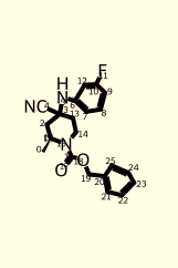 C[C@H]1CC(C#N)(Nc2cccc(F)c2)CCN1C(=O)OCc1ccccc1